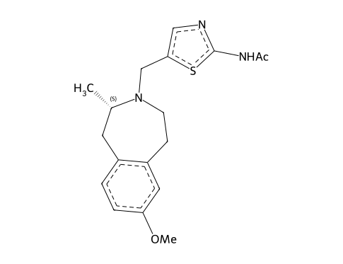 COc1ccc2c(c1)CCN(Cc1cnc(NC(C)=O)s1)[C@@H](C)C2